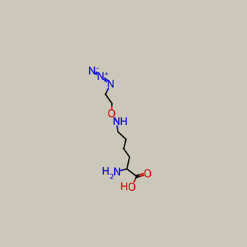 [N-]=[N+]=NCCONCCCCC(N)C(=O)O